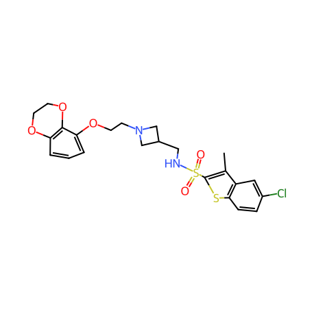 Cc1c(S(=O)(=O)NCC2CN(CCOc3cccc4c3OCCO4)C2)sc2ccc(Cl)cc12